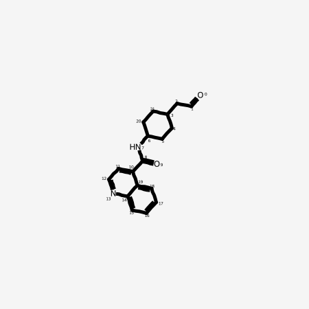 O=CCC1CCC(NC(=O)c2ccnc3ccccc23)CC1